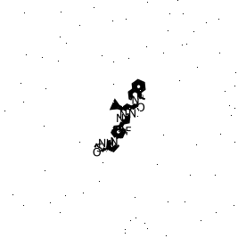 C[C@@H]1c2ccccc2CCN1C(=O)c1cc(C2CC2)n2nc(-c3ccc(N4CC[C@@H](CS(C)(=N)=O)C4)cc3F)cc2n1